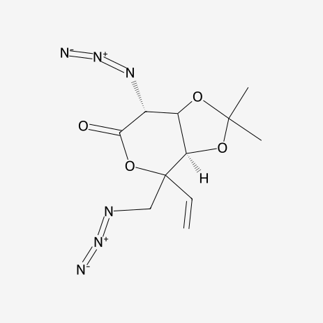 C=CC1(CN=[N+]=[N-])OC(=O)[C@H](N=[N+]=[N-])C2OC(C)(C)O[C@H]21